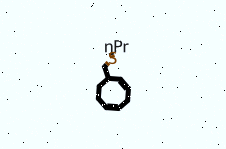 CCCSCC1/C=C\C/C=C\CC1